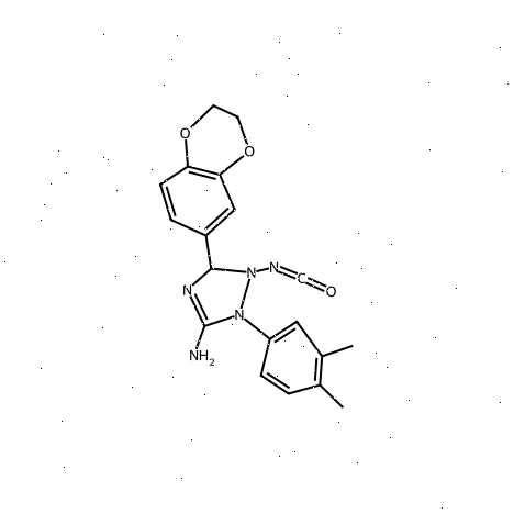 Cc1ccc(N2C(N)=NC(c3ccc4c(c3)OCCO4)N2N=C=O)cc1C